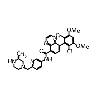 C=C1CN(Cc2ccc(NC(=O)c3ccc(-c4c(Cl)c(OC)cc(OC)c4Cl)c4nccnc34)cn2)CCN1